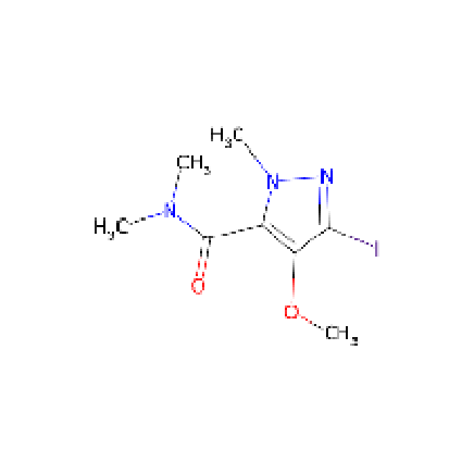 COc1c(I)nn(C)c1C(=O)N(C)C